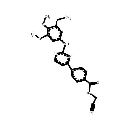 COc1cc(Nc2nccc(-c3ccc(C(=O)NCC#N)cc3)n2)cc(OC)c1OC